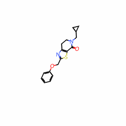 O=C1c2sc(COc3ccccc3)nc2CCN1CC1CC1